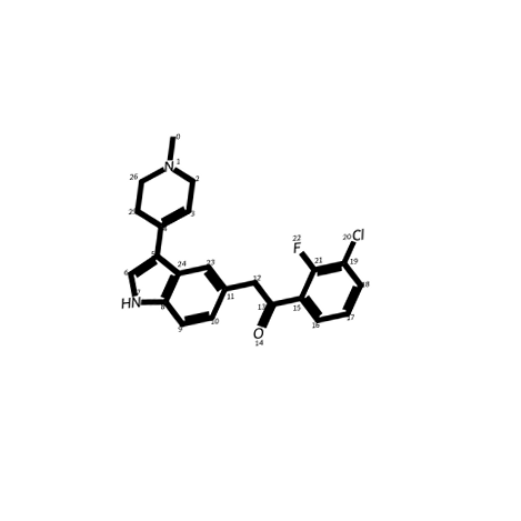 CN1CC=C(c2c[nH]c3ccc(CC(=O)c4cccc(Cl)c4F)cc23)CC1